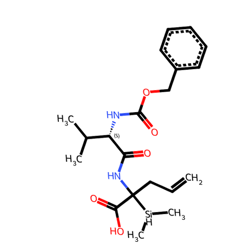 C=CCC(NC(=O)[C@@H](NC(=O)OCc1ccccc1)C(C)C)(C(=O)O)[SiH](C)C